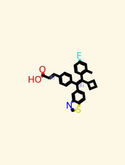 Cc1cc(F)ccc1/C(=C(\c1ccc(/C=C/C(=O)O)cc1)c1ccc2scnc2c1)C1CCC1